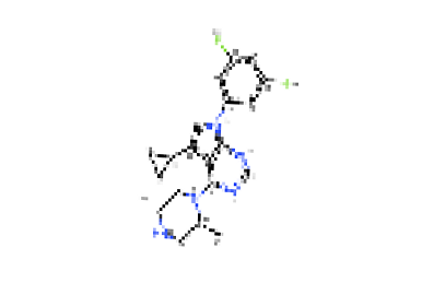 C[C@@H]1CN(c2ncnc3c2c(C2CC2)cn3-c2cc(F)cc(F)c2)[C@@H](C)CN1